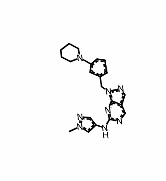 Cn1cc(Nc2ncc3cnn(Cc4cccc(N5CCCCC5)c4)c3n2)cn1